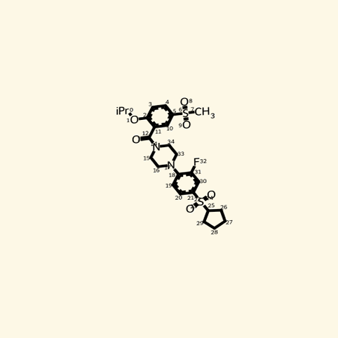 CC(C)Oc1ccc(S(C)(=O)=O)cc1C(=O)N1CCN(c2ccc(S(=O)(=O)C3CCCC3)cc2F)CC1